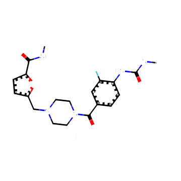 CCCCNC(=O)Nc1ccc(C(=O)N2CCN(Cc3ccc(C(=O)NC(C)(C)C)o3)CC2)cc1F.Cl